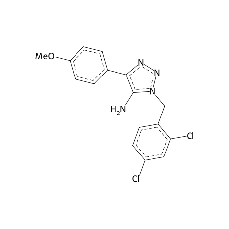 COc1ccc(-c2nnn(Cc3ccc(Cl)cc3Cl)c2N)cc1